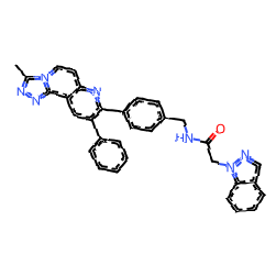 Cc1nnc2c3cc(-c4ccccc4)c(-c4ccc(CNC(=O)Cn5ncc6ccccc65)cc4)nc3ccn12